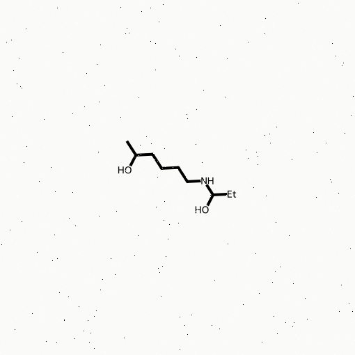 CCC(O)NCCCCC(C)O